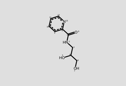 O=C(NCC(O)CO)c1ccccn1